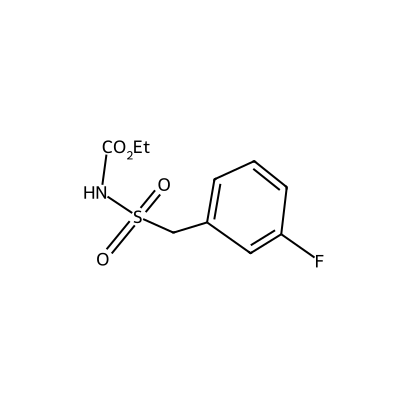 CCOC(=O)NS(=O)(=O)Cc1cccc(F)c1